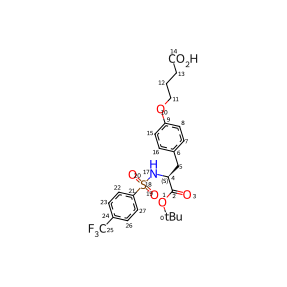 CC(C)(C)OC(=O)[C@H](Cc1ccc(OCCCC(=O)O)cc1)NS(=O)(=O)c1ccc(C(F)(F)F)cc1